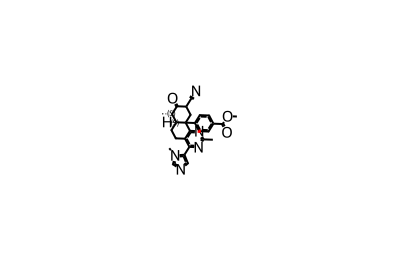 COC(=O)c1ccc(C23CC(C#N)C(=O)[C@@H](C)[C@@H]2CCc2c(-c4cncn4C)nc(C)nc23)cc1